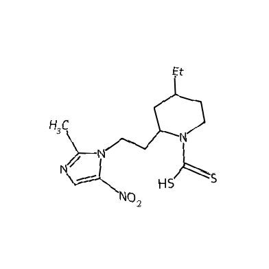 CCC1CCN(C(=S)S)C(CCn2c([N+](=O)[O-])cnc2C)C1